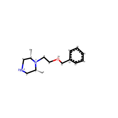 C[C@@H]1CNC[C@H](C)N1CCOCc1ccccc1